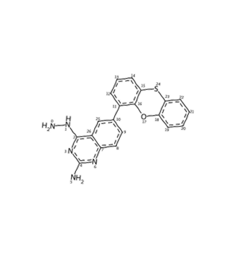 NNc1nc(N)nc2ccc(-c3cccc4c3Oc3ccccc3S4)cc12